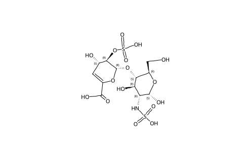 O=C(O)C1=C[C@H](O)[C@@H](OS(=O)(=O)O)[C@H](O[C@H]2[C@H](O)[C@@H](NS(=O)(=O)O)[C@@H](O)O[C@@H]2CO)O1